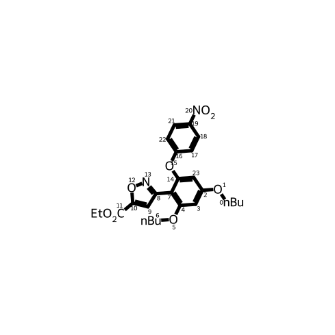 CCCCOc1cc(OCCCC)c(-c2cc(C(=O)OCC)on2)c(Oc2ccc([N+](=O)[O-])cc2)c1